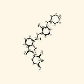 O=C1CC[C@@H](N2Cc3c(NCc4cccc(CN5CCOCC5)c4F)cccc3C2=O)C(=O)N1